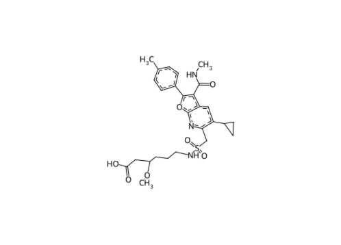 CNC(=O)c1c(-c2ccc(C)cc2)oc2nc(CS(=O)(=O)NCCCC(CC(=O)O)OC)c(C3CC3)cc12